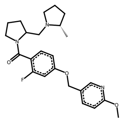 COc1ccc(COc2ccc(C(=O)N3CCCC3CN3CCC[C@@H]3C)c(F)c2)cn1